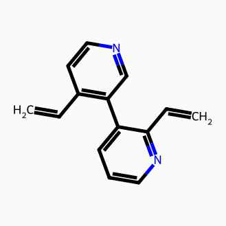 C=Cc1ccncc1-c1cccnc1C=C